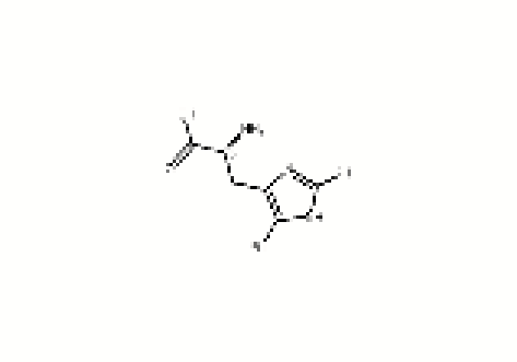 [3H]c1nc(C[C@H](N)C(=O)O)c([3H])[nH]1